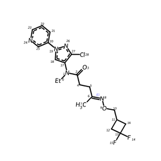 CCN(C(=O)CC/C(C)=N/OCC1CC(F)(F)C1)c1cn(-c2cccnc2)nc1Cl